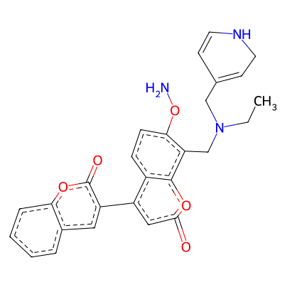 CCN(CC1=CCNC=C1)Cc1c(ON)ccc2c(-c3cc4ccccc4oc3=O)cc(=O)oc12